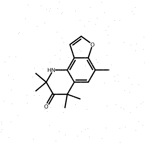 Cc1cc2c(c3ccoc13)NC(C)(C)C(=O)C2(C)C